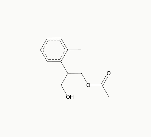 CC(=O)OCC(CO)c1ccccc1C